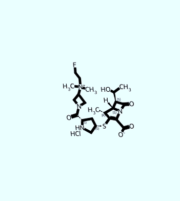 CC(O)[C@H]1C(=O)N2C(C(=O)[O-])=C(S[C@@H]3CN[C@H](C(=O)N4CC([N+](C)(C)CCF)C4)C3)[C@H](C)[C@H]12.Cl